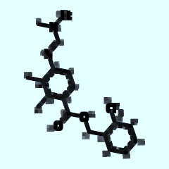 CCN(C)/C=N/c1ccc(C(=O)OCc2ccccc2C(F)(F)F)c(C)c1C